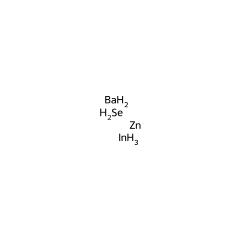 [BaH2].[InH3].[SeH2].[Zn]